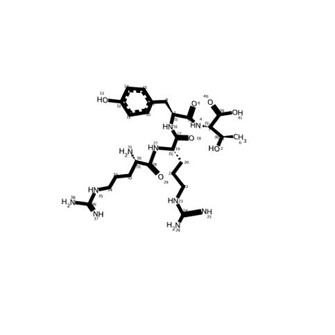 C[C@@H](O)[C@H](NC(=O)[C@H](Cc1ccc(O)cc1)NC(=O)[C@H](CCCNC(=N)N)NC(=O)[C@@H](N)CCCNC(=N)N)C(=O)O